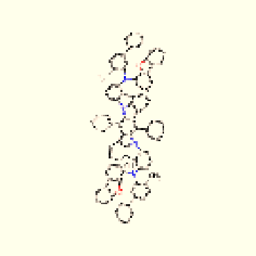 Cc1ccc(-c2ccccc2)cc1N(c1cccc2c1C1(C)CC=Cc3c1n-2c1c(-c2ccccc2)c2c4cccc5c6c(N(c7cc(-c8ccccc8)ccc7C)c7cccc8c7oc7ccccc78)cccc6n(c2c(C2=CC=CCC2)c31)c54)c1cccc2c1oc1ccccc12